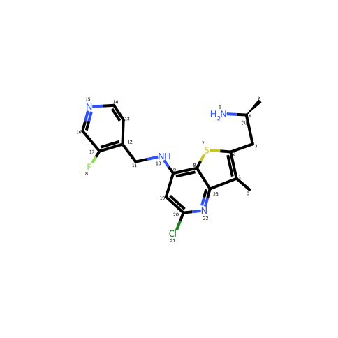 Cc1c(C[C@H](C)N)sc2c(NCc3ccncc3F)cc(Cl)nc12